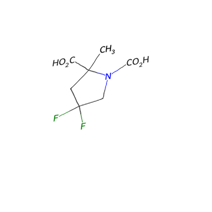 CC1(C(=O)O)CC(F)(F)CN1C(=O)O